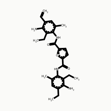 C=Cc1cc(C)c(NC(=O)c2ccc(C(=O)Nc3c(C)cc(CC)c(N)c3CC)o2)c(CC)c1N